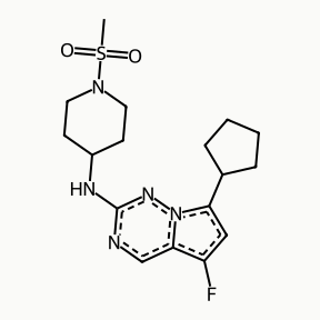 CS(=O)(=O)N1CCC(Nc2ncc3c(F)cc(C4CCCC4)n3n2)CC1